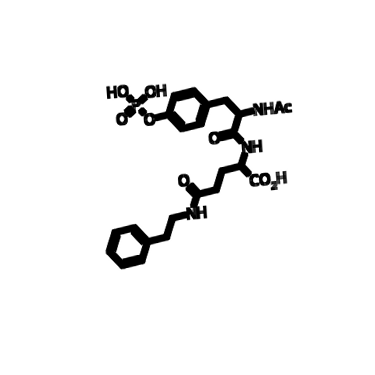 CC(=O)NC(Cc1ccc(OP(=O)(O)O)cc1)C(=O)NC(CCC(=O)NCCc1ccccc1)C(=O)O